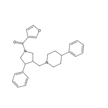 O=C(c1ccoc1)N1CC(CN2CCC(c3ccccc3)CC2)C(c2ccccc2)C1